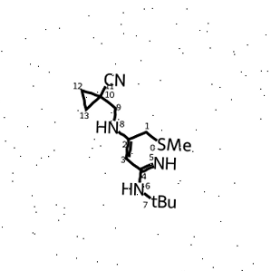 CSC/C(=C\C(=N)NC(C)(C)C)NCC1(C#N)CC1